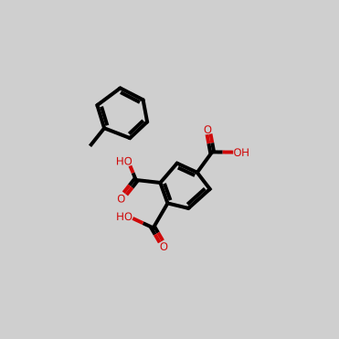 Cc1ccccc1.O=C(O)c1ccc(C(=O)O)c(C(=O)O)c1